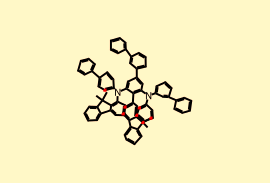 CC1(C)c2ccccc2-c2ccc(-c3c(N(c4ccccc4)c4cccc(-c5ccccc5)c4)cc(-c4cccc(-c5ccccc5)c4)cc3N(c3ccc(-c4ccccc4)cc3)c3cccc4c3C(C)(C)c3ccccc3-4)cc21